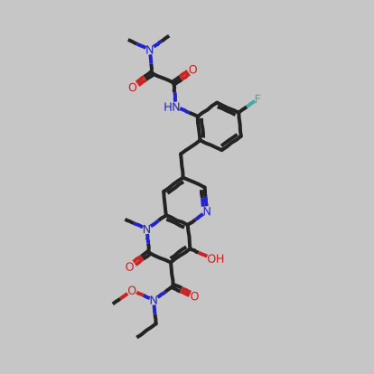 CCN(OC)C(=O)c1c(O)c2ncc(Cc3ccc(F)cc3NC(=O)C(=O)N(C)C)cc2n(C)c1=O